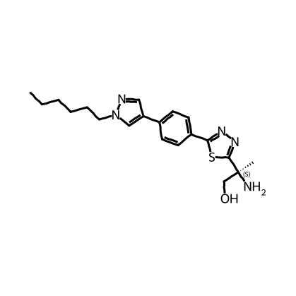 CCCCCCn1cc(-c2ccc(-c3nnc([C@@](C)(N)CO)s3)cc2)cn1